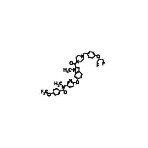 CN(C(=O)c1ccc(OC(F)(F)F)cc1)c1ccc(Oc2ccc3cc(C(=O)N4CCN(Cc5ccc(OC(CF)CF)cc5)CC4)n(C)c3c2)nc1